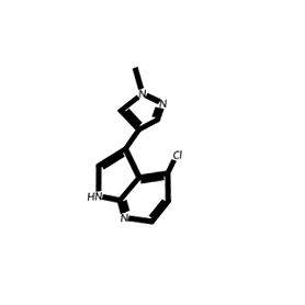 Cn1cc(-c2c[nH]c3nccc(Cl)c23)cn1